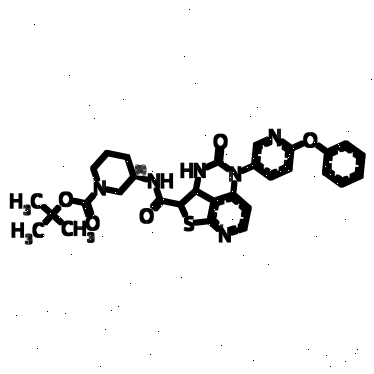 CC(C)(C)OC(=O)N1CCC[C@@H](NC(=O)C2Sc3nccc4c3C2NC(=O)N4c2ccc(Oc3ccccc3)nc2)C1